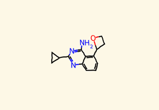 Nc1nc(C2CC2)nc2cccc(C3CCO3)c12